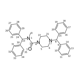 CN(C(=O)N1CCN(C(c2ccccc2)c2ccccc2)CC1)C(c1ccccc1)c1ccccc1